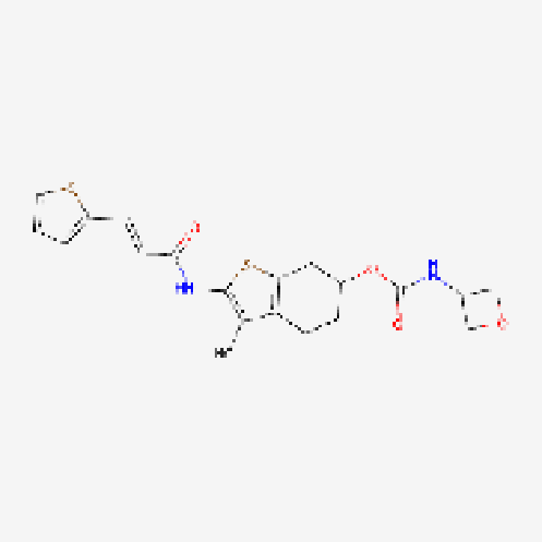 N#Cc1c(NC(=O)C=Cc2cccs2)sc2c1CCC(OC(=O)NC1COC1)C2